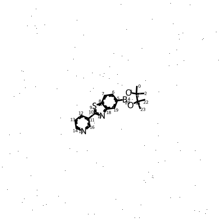 CC1(C)OB(c2ccc3sc(-c4cccnc4)nc3c2)OC1(C)C